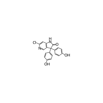 O=C1Nc2cc(Cl)ncc2C1(c1ccc(O)cc1)c1ccc(O)cc1